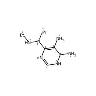 CCNN(C1=C(N)C(N)NC=N1)C(C)C